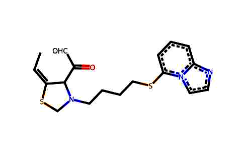 CC=C1SCN(CCCCSc2cccc3nccn23)C1C(=O)C=O